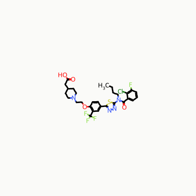 CCCCN(C(=O)c1cccc(F)c1Cl)c1nnc(-c2ccc(OCCN3CCC(CC(=O)O)CC3)c(C(F)(F)F)c2)s1